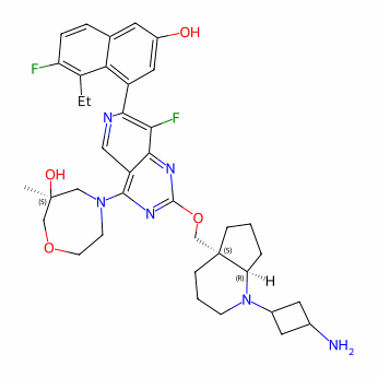 CCc1c(F)ccc2cc(O)cc(-c3ncc4c(N5CCOC[C@@](C)(O)C5)nc(OC[C@]56CCC[C@H]5N(C5CC(N)C5)CCC6)nc4c3F)c12